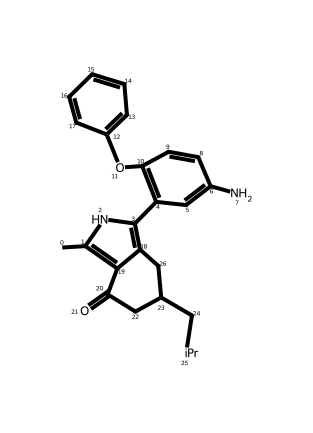 Cc1[nH]c(-c2cc(N)ccc2Oc2ccccc2)c2c1C(=O)CC(CC(C)C)C2